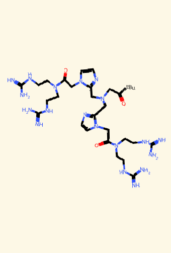 CC(C)(C)C(=O)CN(Cc1nccn1CC(=O)N(CCNC(=N)N)CCNC(=N)N)Cc1nccn1CC(=O)N(CCNC(=N)N)CCNC(=N)N